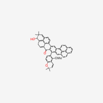 COc1c(-c2c3c(cc4c2cc2ccc5cccc6ccc4c2c56)-c2ccc4c5c2C(=CCC=5C(O)C(C)(C)C=4)C3=O)ccc2c1C=CC(C)(C)O2